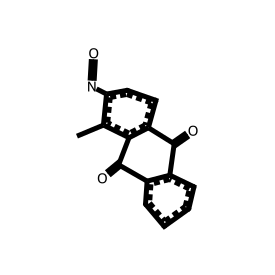 Cc1c(N=O)ccc2c1C(=O)c1ccccc1C2=O